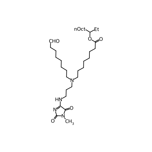 CCCCCCCCC(CC)OC(=O)CCCCCCCN(CCCCCCCC=O)CCCNC1=NC(=O)N(C)C1=O